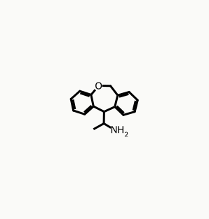 CC(N)C1c2ccccc2COc2ccccc21